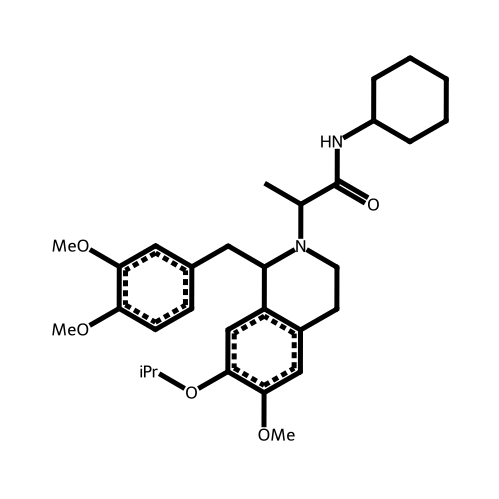 COc1ccc(CC2c3cc(OC(C)C)c(OC)cc3CCN2C(C)C(=O)NC2CCCCC2)cc1OC